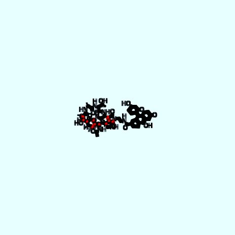 CC(=O)N[C@H](CSC1CC(=O)N(CCNC(=O)c2ccc(C(=O)O)c(-c3c4ccc(=O)cc-4oc4cc(O)ccc34)c2)C1=O)C(=O)N[C@H](C)C(=O)N[C@H](C)C(=O)N[C@H](C)C(=O)N[C@@H](C(=O)N[C@H](Cc1c[nH]cn1)C(=O)N[C@H](CCC(=O)O)C(N)=O)[C@H](C)O